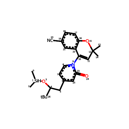 C[SiH](C)OC(Cc1ccn(C2=CC(C)(C)Oc3ccc(C#N)cc32)c(=O)c1)C(C)(C)C